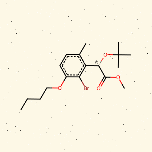 CCCCOc1ccc(C)c([C@H](OC(C)(C)C)C(=O)OC)c1Br